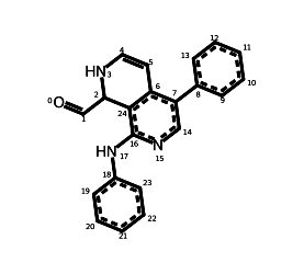 O=CC1NC=Cc2c(-c3ccccc3)cnc(Nc3ccccc3)c21